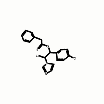 S=C(Cc1ccccc1)SC(c1ccc(Cl)cc1)C(Cl)n1ccnc1